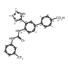 O=C(Nc1cccc(C(F)(F)F)c1)Nc1ccc(-c2ccc(C(=O)O)cc2)cc1-c1nnn[nH]1